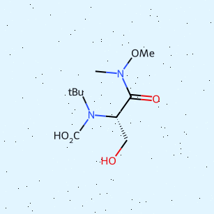 CON(C)C(=O)[C@H](CO)N(C(=O)O)C(C)(C)C